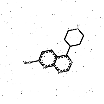 COc1ccc2c(C3CCNCC3)ncnc2n1